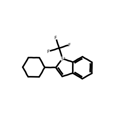 FC(F)(F)[s+]1c(C2CCCCC2)cc2ccccc21